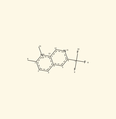 Cc1ccc2cc(C(F)(F)F)ncc2[n+]1C